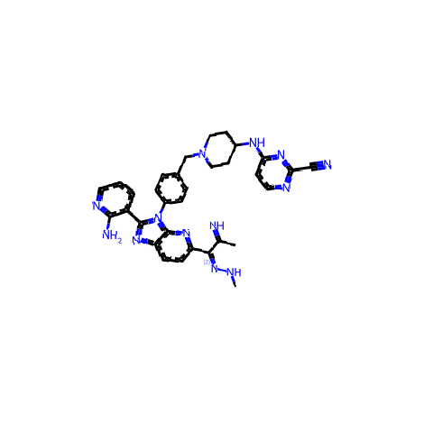 CN/N=C(\C(C)=N)c1ccc2nc(-c3cccnc3N)n(-c3ccc(CN4CCC(Nc5ccnc(C#N)n5)CC4)cc3)c2n1